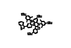 Cc1cc(C(C)(C)C)cc(C)c1N1c2cc(-c3csc4ccccc34)ccc2B2c3c1cc(C(C)(C)C)cc3N(c1c(C)cc(C(C)(C)C)cc1C)c1oc3ccc(C(C)(C)C)cc3c12